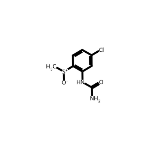 C[S+]([O-])c1ccc(Cl)cc1NC(N)=O